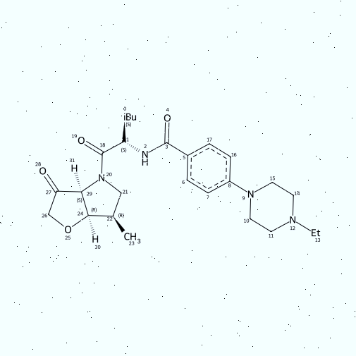 CC[C@H](C)[C@H](NC(=O)c1ccc(N2CCN(CC)CC2)cc1)C(=O)N1C[C@@H](C)[C@H]2OCC(=O)[C@H]21